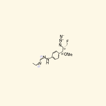 C/C=N\C=N/Nc1ccc([C@@H](OC)[C@@H](CF)N=[N+]=[N-])cc1